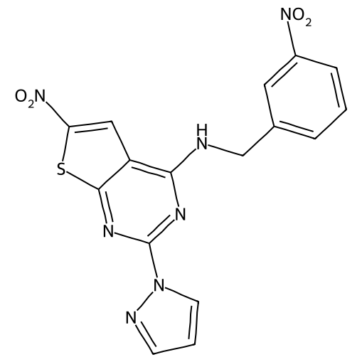 O=[N+]([O-])c1cccc(CNc2nc(-n3cccn3)nc3sc([N+](=O)[O-])cc23)c1